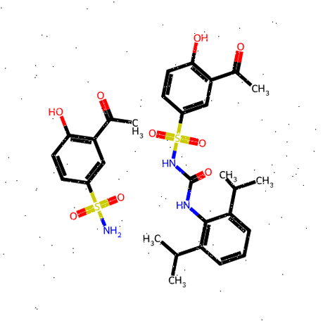 CC(=O)c1cc(S(=O)(=O)NC(=O)Nc2c(C(C)C)cccc2C(C)C)ccc1O.CC(=O)c1cc(S(N)(=O)=O)ccc1O